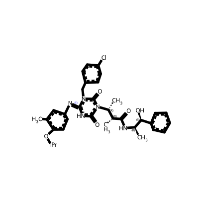 Cc1cc(/N=c2\[nH]c(=O)n([C@H](C)[C@@H](C)C(=O)N[C@H](C)[C@@H](O)c3ccccc3)c(=O)n2Cc2ccc(Cl)cc2)ccc1OC(C)C